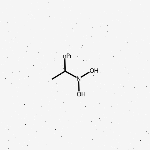 CCCC(C)N(O)O